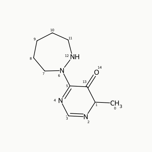 CC1N=[C]N=C(N2CCCCCN2)C1=O